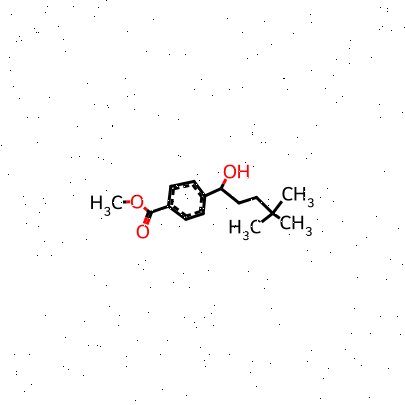 COC(=O)c1ccc(C(O)CCC(C)(C)C)cc1